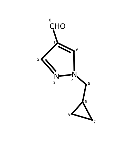 O=Cc1cnn(CC2CC2)c1